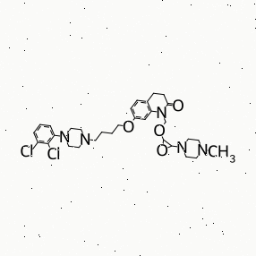 CN1CCN(C2OC2OCN2C(=O)CCc3ccc(OCCCCN4CCN(c5cccc(Cl)c5Cl)CC4)cc32)CC1